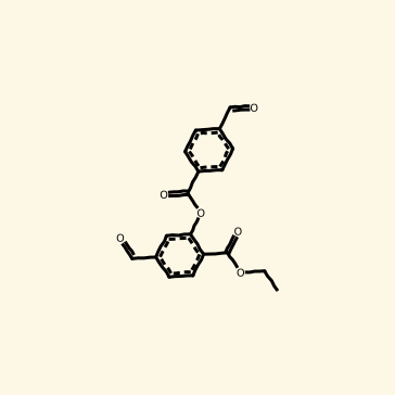 CCOC(=O)c1ccc(C=O)cc1OC(=O)c1ccc(C=O)cc1